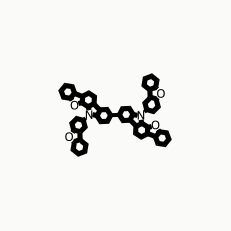 c1ccc2c(c1)oc1ccc(-n3c4ccc(-c5ccc6c(c5)c5ccc7c8ccccc8oc7c5n6-c5ccc6oc7ccccc7c6c5)cc4c4ccc5c6ccccc6oc5c43)cc12